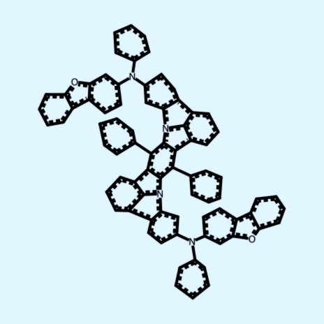 c1ccc(-c2c3c4cccc5c6ccc(N(c7ccccc7)c7ccc8c(c7)oc7ccccc78)cc6n(c3c(-c3ccccc3)c3c6cccc7c8ccc(N(c9ccccc9)c9ccc%10c(c9)oc9ccccc9%10)cc8n(c23)c76)c54)cc1